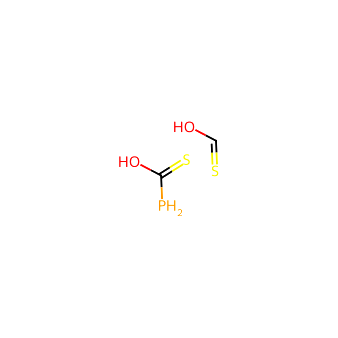 OC(P)=S.OC=S